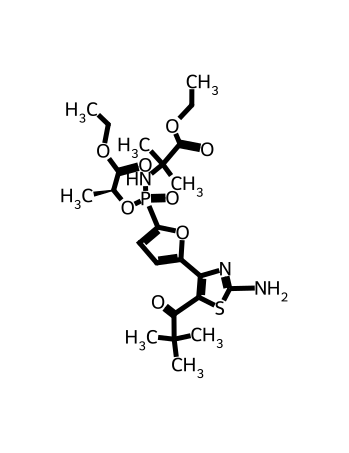 CCOC(=O)[C@H](C)OP(=O)(NC(C)(C)C(=O)OCC)c1ccc(-c2nc(N)sc2C(=O)C(C)(C)C)o1